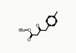 Cc1ccc(CC(=O)CC(=O)OC(C)(C)C)cc1